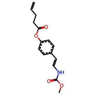 C=CCCC(=O)Oc1ccc(C=CNC(=O)OC)cc1